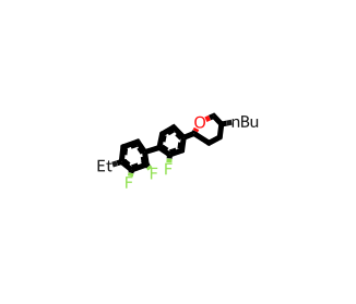 CCCCC1CCC(c2ccc(-c3ccc(CC)c(F)c3F)c(F)c2)OC1